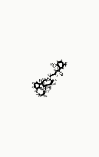 COc1ccc(F)cc1C(=O)CCCN1CC[C@H]2[C@@H](C1)c1cccc3c1N2CCCS3